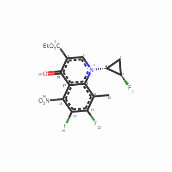 CCOC(=O)c1cn([C@@H]2C[C@H]2F)c2c(C)c(F)c(F)c([N+](=O)[O-])c2c1=O